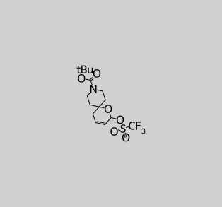 CC(C)(C)OC(=O)N1CCC2(CC=CC(OS(=O)(=O)C(F)(F)F)O2)CC1